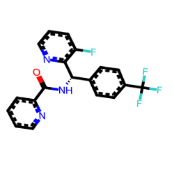 O=C(N[C@@H](c1ccc(C(F)(F)F)cc1)c1ncccc1F)c1ccccn1